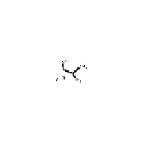 CC(C)[CH2][Al+2].[Cl-].[Cl-]